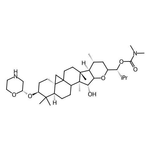 CC(C)[C@@H](OC(=O)N(C)C)C1C[C@@H](C)[C@H]2C(O1)[C@H](O)[C@@]1(C)C3CC[C@H]4C(C)(C)[C@@H](O[C@H]5CNCCO5)CC[C@@]45CC35CC[C@]21C